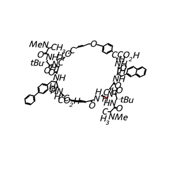 CN[C@@H](C)C(=O)N[C@H](C(=O)N1C[C@@H]2C[C@H]1C(=O)N[C@@H](Cc1ccc3ccccc3c1)C(=O)N[C@H](C(=O)O)Cc1ccc(cc1)OC/C=C/CO[C@H]1C[C@@H](C(=O)N[C@@H](Cc3ccc(-c4ccccc4)cc3)C(=O)N[C@H](C(=O)O)Cc3ccc(cc3)C(=O)N2)N(C(=O)[C@@H](NC(=O)[C@H](C)NC)C(C)(C)C)C1)C(C)(C)C